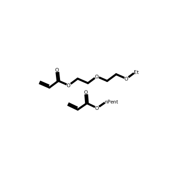 C=CC(=O)OCCCCC.C=CC(=O)OCCOCCOCC